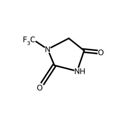 O=C1CN(C(F)(F)F)C(=O)N1